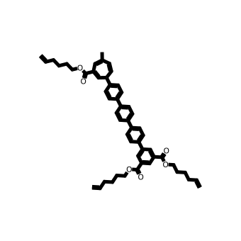 C=CCCCCOC(=O)C1=CC(c2ccc(-c3ccc(-c4ccc(-c5cc(C(=O)OCCCCC=C)cc(C(=O)OCCCCC=C)c5)cc4)cc3)cc2)C=CC(C)=C1